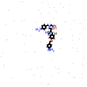 CC(C)CN(Cc1ccc(N)cc1)C[C@@H](O)[C@H](Cc1ccc(OCc2ccc(N)cc2)cc1)NC(=O)O